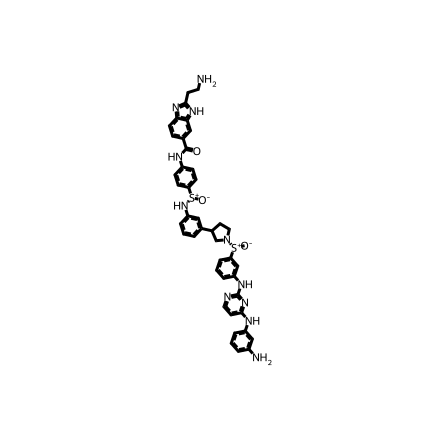 NCCc1nc2ccc(C(=O)Nc3ccc([S+]([O-])Nc4cccc(C5CCN([S+]([O-])c6cccc(Nc7nccc(Nc8cccc(N)c8)n7)c6)C5)c4)cc3)cc2[nH]1